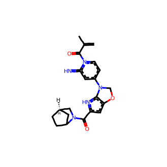 C=C(C)C(=O)n1ccc(N2COc3cc(C(=O)N4C[C@@H]5CCC4C5)[nH]c32)cc1=N